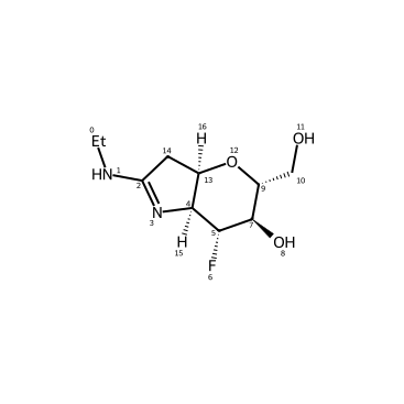 CCNC1=N[C@@H]2[C@@H](F)[C@H](O)[C@@H](CO)O[C@@H]2C1